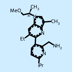 CCc1cc2c(nc1-c1ccc(C(C)C)nc1CN)c(C)cn2[C@H](C)COC